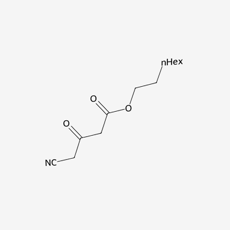 CCCCCCCCOC(=O)CC(=O)CC#N